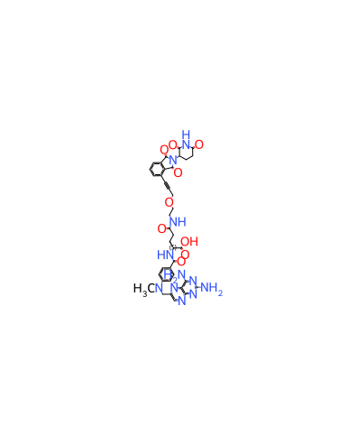 CN(Cc1cnc2nc(N)nc(N)c2n1)c1ccc(C(=O)N[C@@H](CCC(=O)NCCOCC#Cc2cccc3c2C(=O)N(C2CCC(=O)NC2=O)C3=O)C(=O)O)cc1